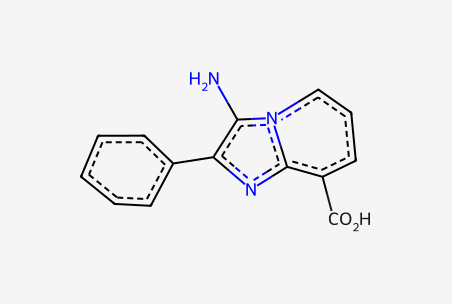 Nc1c(-c2ccccc2)nc2c(C(=O)O)cccn12